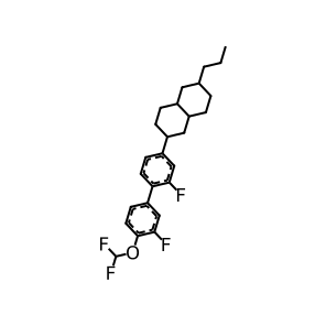 CCCC1CCC2CC(c3ccc(-c4ccc(OC(F)F)c(F)c4)c(F)c3)CCC2C1